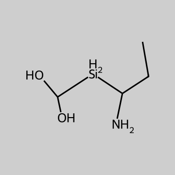 CCC(N)[SiH2]C(O)O